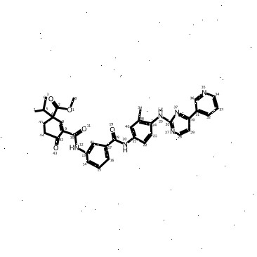 COC(=O)C1(C(C)C)C=C(C(=O)Nc2cccc(C(=O)Nc3ccc(Nc4nccc(-c5cccnc5)n4)c(C)c3)c2)C(=O)CC1